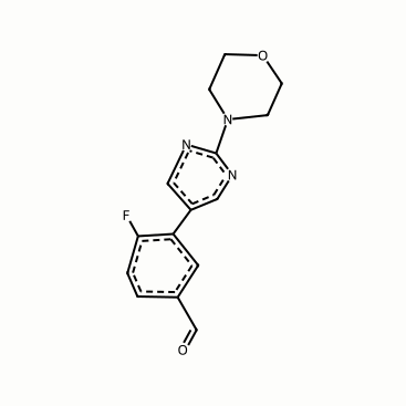 O=Cc1ccc(F)c(-c2cnc(N3CCOCC3)nc2)c1